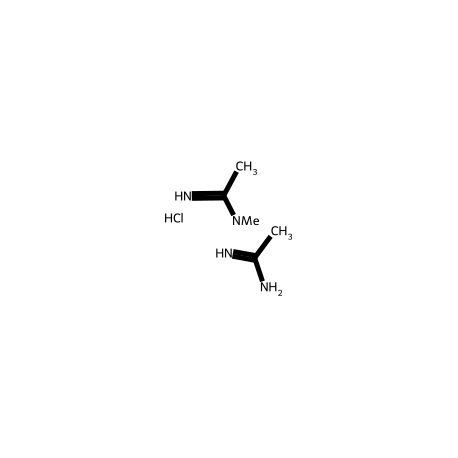 CC(=N)N.CNC(C)=N.Cl